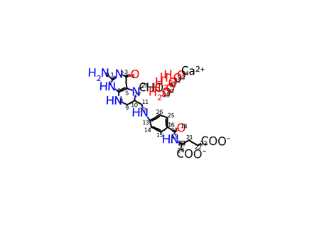 Nc1nc(=O)c2c([nH]1)NCC(CNc1ccc(C(=O)N[C@@H](CCC(=O)[O-])C(=O)[O-])cc1)N2C=O.O.O.O.O.O.[Ca+2]